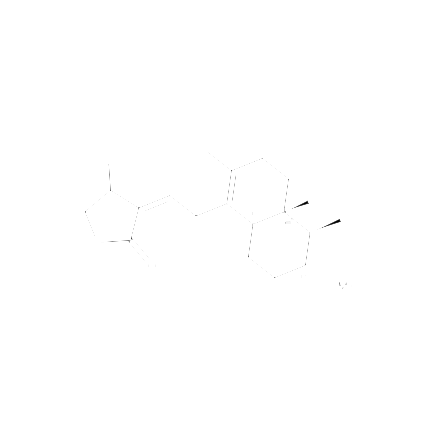 CO[C@@H]1CC[C@@]2(C)C(CC=C3C(=O)OCC3O)=C(C)CC[C@@H]2[C@H]1C